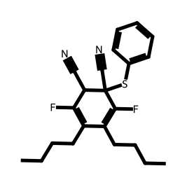 CCCCC1=C(F)C(C#N)C(C#N)(Sc2ccccc2)C(F)=C1CCCC